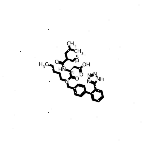 CCCCCN(Cc1ccc(-c2ccccc2-c2nnn[nH]2)cc1)C(=O)[C@H](CC(=O)O)NC(=O)C(CS)CC(C)C